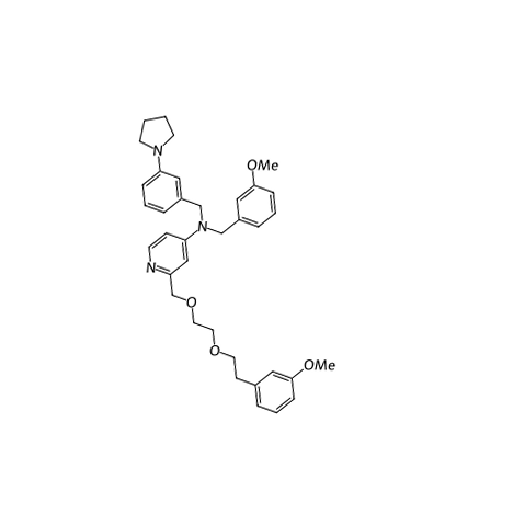 COc1cccc(CCOCCOCc2cc(N(Cc3cccc(OC)c3)Cc3cccc(N4CCCC4)c3)ccn2)c1